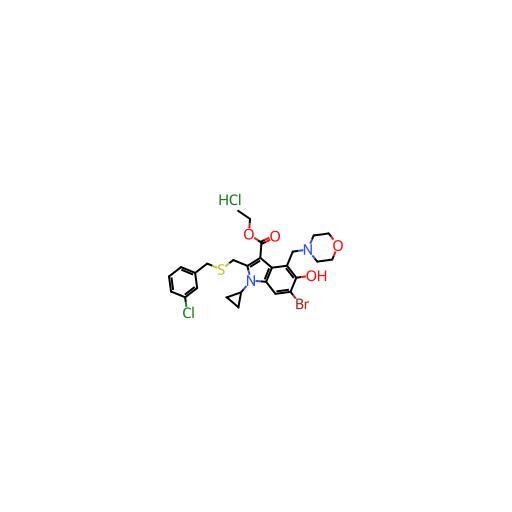 CCOC(=O)c1c(CSCc2cccc(Cl)c2)n(C2CC2)c2cc(Br)c(O)c(CN3CCOCC3)c12.Cl